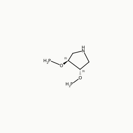 PO[C@H]1CNC[C@@H]1OP